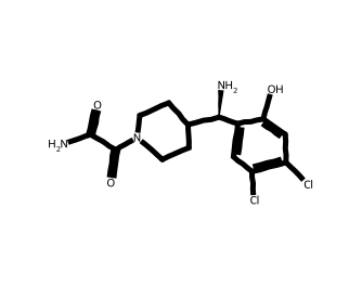 NC(=O)C(=O)N1CCC([C@@H](N)c2cc(Cl)c(Cl)cc2O)CC1